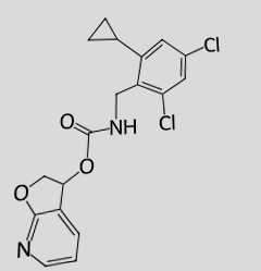 O=C(NCc1c(Cl)cc(Cl)cc1C1CC1)OC1COc2ncccc21